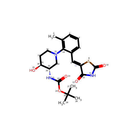 Cc1cccc(/C=C2\SC(=O)NC2=O)c1N1CC[C@H](O)[C@@H](NC(=O)OC(C)(C)C)C1